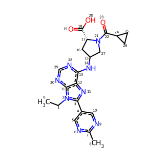 CCn1c(-c2cnc(C)nc2)nc2c(NC3C[C@H](C(=O)O)N(C(=O)C4CC4)C3)ncnc21